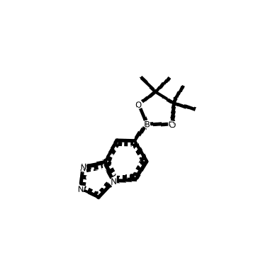 CC1(C)OB(c2ccn3cnnc3c2)OC1(C)C